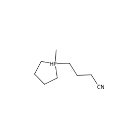 C[PH]1(CCCC#N)CCCC1